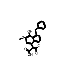 COc1cc(C(C(=O)O)=C(Cl)Cl)c2cccc(Cc3ccccc3)c2c1O